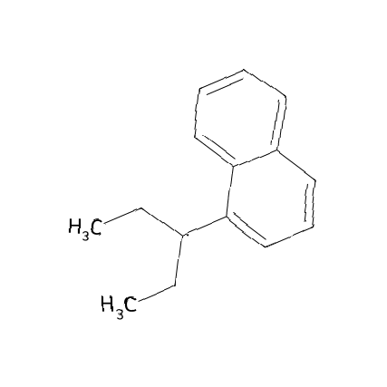 CC[C](CC)c1cccc2ccccc12